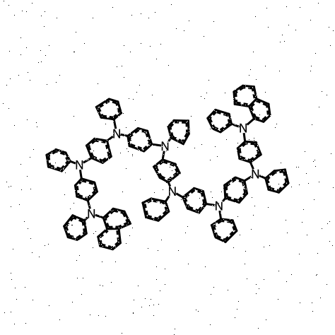 c1ccc(N(c2ccc(N(c3ccccc3)c3ccc(N(c4ccccc4)c4ccc(N(c5ccccc5)c5ccc(N(c6ccccc6)c6cccc7ccccc67)cc5)cc4)cc3)cc2)c2ccc(N(c3ccccc3)c3ccc(N(c4ccccc4)c4ccc(N(c5ccccc5)c5cccc6ccccc56)cc4)cc3)cc2)cc1